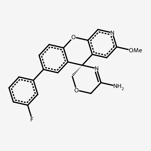 COc1cc2c(cn1)Oc1ccc(-c3cccc(F)c3)cc1[C@@]21COCC(N)=N1